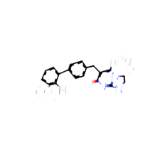 CCCCc1c(Cc2ccc(-c3ccccc3C(=O)O)cc2)c(=O)nc2n1C(=O)C=N2